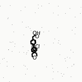 Cl.[N-]=[N+]1C2=C(c3ccc(CC(=O)O)cc3)C1CC1(CCOCC1)C2